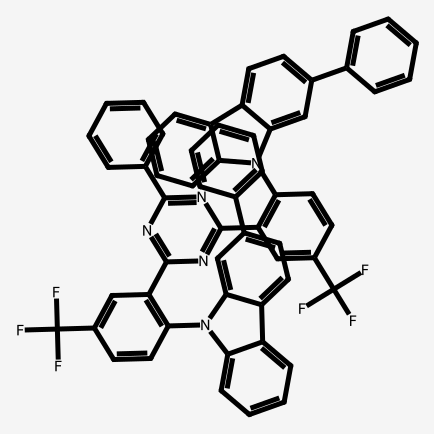 FC(F)(F)c1ccc(-n2c3ccccc3c3ccc(-c4ccccc4)cc32)c(-c2nc(-c3ccccc3)nc(-c3cc(C(F)(F)F)ccc3-n3c4ccccc4c4ccc(-c5ccccc5)cc43)n2)c1